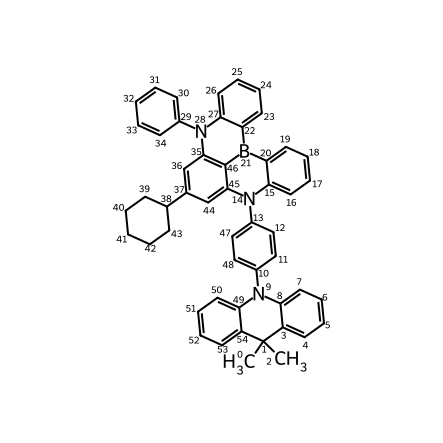 CC1(C)c2ccccc2N(c2ccc(N3c4ccccc4B4c5ccccc5N(c5ccccc5)c5cc(C6CCCCC6)cc3c54)cc2)c2ccccc21